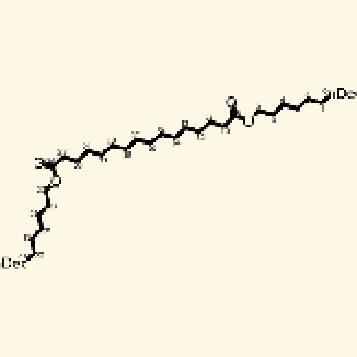 CCCCCCCCCCCCCCCCOC(=O)CCCCCCCCCCCCCCC(=O)OCCCCCCCCCCCCCCCC